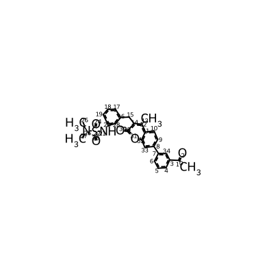 CC(=O)c1cccc(-c2ccc3c(C)c(Cc4cccc(NS(=O)(=O)N(C)C)c4)c(=O)oc3c2)c1